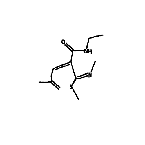 C=C(C)/C=C(C(=O)NCC)\C(=N/C)SC